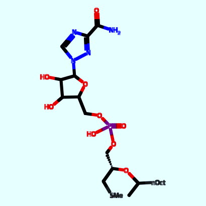 CCCCCCCCC(C)O[C@@H](COP(=O)(O)OCC1OC(n2cnc(C(N)=O)n2)C(O)C1O)CSC